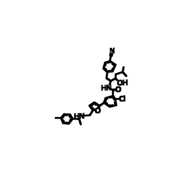 Cc1ccc(C(C)NCc2ccc(-c3ccc(Cl)c(C(=O)NC(Cc4ccc(C#N)cc4)C(O)CC(C)C)c3)o2)cc1